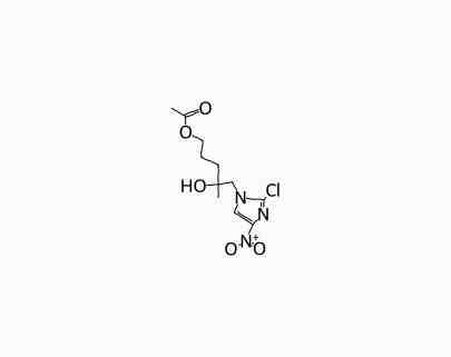 CC(=O)OCCCC(C)(O)Cn1cc([N+](=O)[O-])nc1Cl